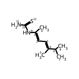 C/C(=C\C=C(/C)C(C)C)NC(N)=S